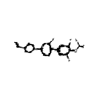 C=Cc1ccc(-c2ccc(-c3cc(F)c(OC(F)F)c(F)c3)c(F)c2)cc1